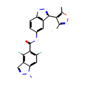 Cc1noc(C)c1-c1n[nH]c2ccc(NC(=O)c3c(F)cc4c(cnn4C)c3F)cc12